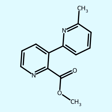 COC(=O)c1ncccc1-c1cccc(C)n1